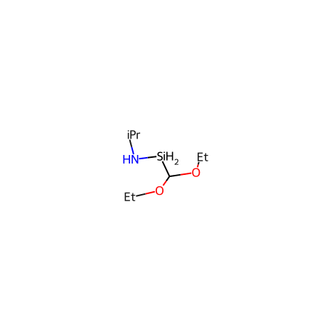 CCOC(OCC)[SiH2]NC(C)C